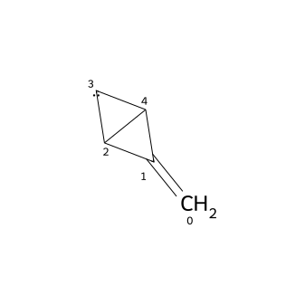 C=C1C2[C]C12